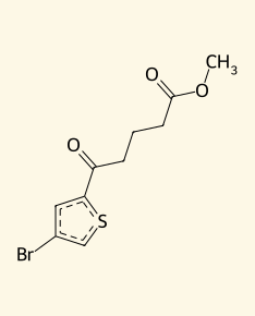 COC(=O)CCCC(=O)c1cc(Br)cs1